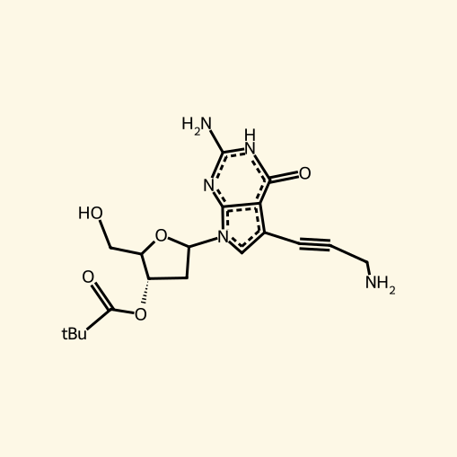 CC(C)(C)C(=O)O[C@H]1CC(n2cc(C#CCN)c3c(=O)[nH]c(N)nc32)OC1CO